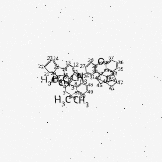 CC1(C)CCC(C)(C)c2c(N(c3ccc4c(c3)C(C)(C)c3ccccc3-4)c3ccc4c(c3)C3(c5ccccc5O4)C4CC5CC(C4)C3C5)cccc21